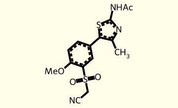 COc1ccc(-c2sc(NC(C)=O)nc2C)cc1S(=O)(=O)CC#N